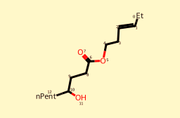 CCC=CCCOC(=O)CCC(O)CCCCC